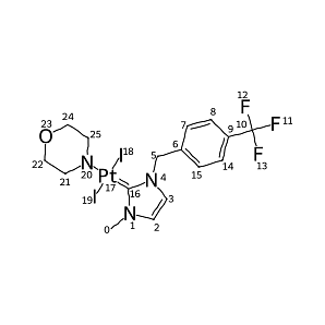 Cn1ccn(Cc2ccc(C(F)(F)F)cc2)[c]1=[Pt]([I])([I])[N]1CCOCC1